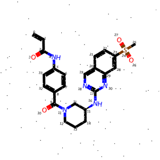 C=CC(=O)Nc1ccc(C(=O)N2CCC[C@H](Nc3ncc4ccc(S(C)(=O)=O)cc4n3)C2)cc1